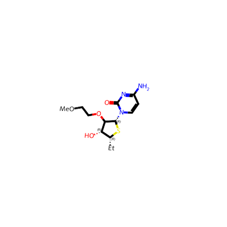 CC[C@H]1S[C@@H](n2ccc(N)nc2=O)C(OCCOC)[C@H]1O